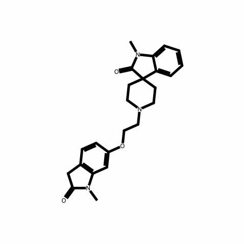 CN1C(=O)Cc2ccc(OCCN3CCC4(CC3)C(=O)N(C)c3ccccc34)cc21